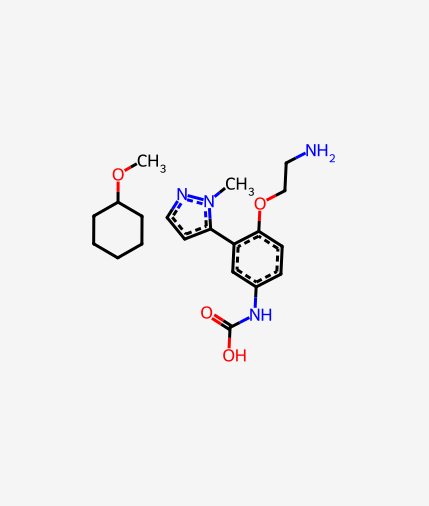 COC1CCCCC1.Cn1nccc1-c1cc(NC(=O)O)ccc1OCCN